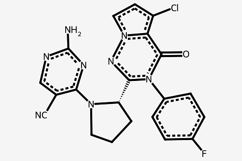 N#Cc1cnc(N)nc1N1CCC[C@H]1c1nn2ccc(Cl)c2c(=O)n1-c1ccc(F)cc1